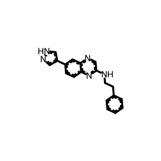 c1ccc(CCNc2cnc3cc(-c4cn[nH]c4)ccc3n2)cc1